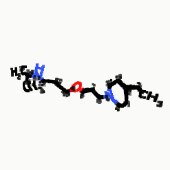 CCC1CCN(CCCOCCCNC(C)C)CC1